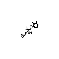 Cc1cccc(OCC(=S)NCCN(C)C)c1C